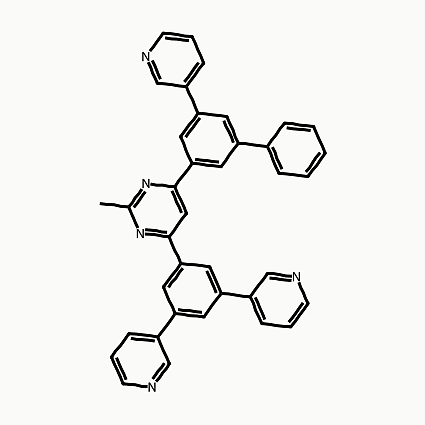 Cc1nc(-c2cc(-c3ccccc3)cc(-c3cccnc3)c2)cc(-c2cc(-c3cccnc3)cc(-c3cccnc3)c2)n1